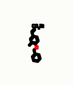 CCOC(=O)C=Cc1ccc(OCc2ccccc2)c(C)c1